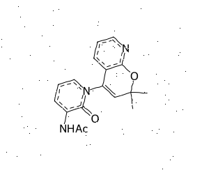 CC(=O)Nc1cccn(C2=CC(C)(C)Oc3ncccc32)c1=O